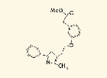 COC(=O)Cc1cccc(OCCC2=C(C)N=C(c3ccccc3)C2)c1